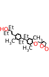 CCC(O)(C=Cc1ccc(C(CC)(CC)c2cc(C)c(OCC3=CCC(=O)O3)c(C)c2)cc1C)CC